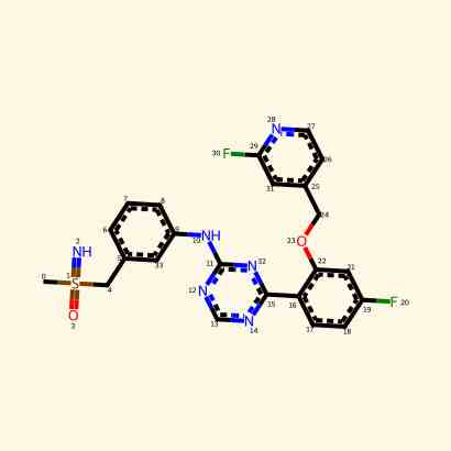 CS(=N)(=O)Cc1cccc(Nc2ncnc(-c3ccc(F)cc3OCc3ccnc(F)c3)n2)c1